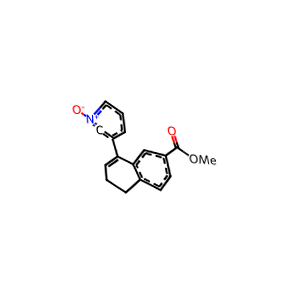 COC(=O)c1ccc2c(c1)C(c1ccc[n+]([O-])c1)=CCC2